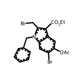 CCOC(=O)c1c(CBr)n(Cc2ccccc2)c2cc(Br)c(OC(C)=O)cc12